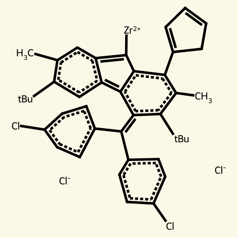 Cc1cc2c(cc1C(C)(C)C)=c1c(c(C3=CC=CC3)c(C)c(C(C)(C)C)c1=C(c1ccc(Cl)cc1)c1ccc(Cl)cc1)[C]=2[Zr+2].[Cl-].[Cl-]